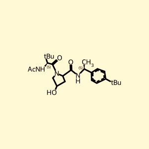 CC(=O)N[C@H](C(=O)N1CC(O)CC1C(=O)N[C@@H](C)c1ccc(C(C)(C)C)cc1)C(C)(C)C